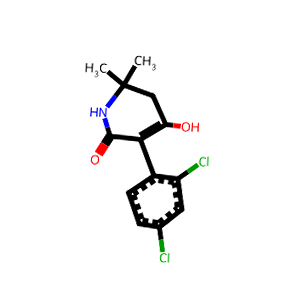 CC1(C)CC(O)=C(c2ccc(Cl)cc2Cl)C(=O)N1